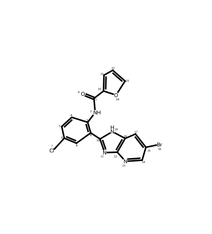 O=C(Nc1ccc(Cl)cc1-c1nc2ncc(Br)cc2[nH]1)c1ccco1